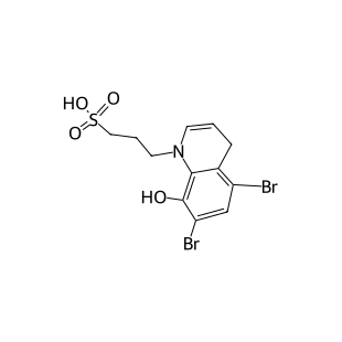 O=S(=O)(O)CCCN1C=CCc2c(Br)cc(Br)c(O)c21